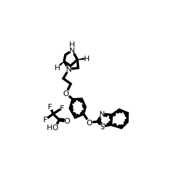 O=C(O)C(F)(F)F.c1ccc2sc(Oc3ccc(OCCN4C[C@@H]5C[C@H]4CN5)cc3)nc2c1